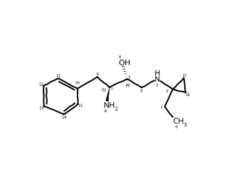 CCC1(NC[C@@H](O)[C@@H](N)Cc2ccccc2)CC1